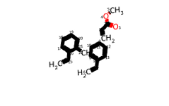 C=CC(=O)OC.C=Cc1ccccc1.C=Cc1ccccc1C